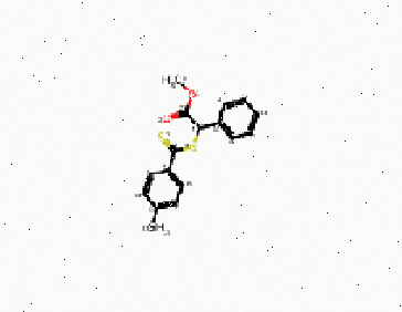 COC(=O)C(SC(=S)c1ccc([SiH3])cc1)c1ccccc1